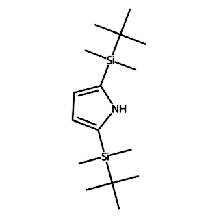 CC(C)(C)[Si](C)(C)c1ccc([Si](C)(C)C(C)(C)C)[nH]1